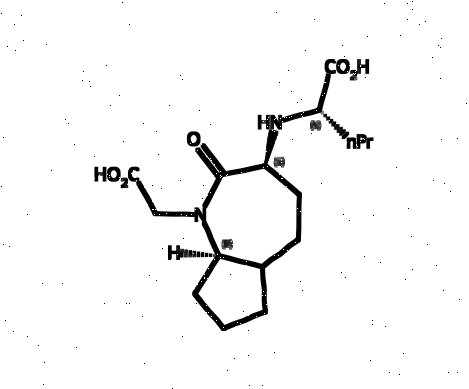 CCC[C@H](N[C@H]1CCC2CCC[C@H]2N(CC(=O)O)C1=O)C(=O)O